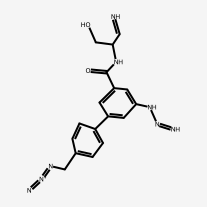 [N-]=[N+]=NCc1ccc(-c2cc(NN=N)cc(C(=O)NC(C=N)CO)c2)cc1